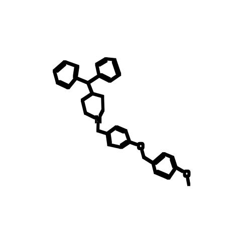 COc1ccc(COc2ccc(CN3CCC(C(c4ccccc4)c4ccccc4)CC3)cc2)cc1